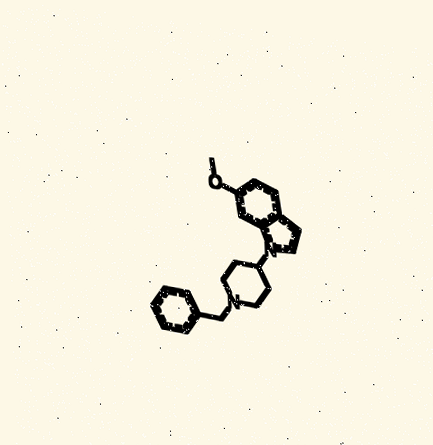 COc1ccc2ccn(C3CCN(Cc4ccccc4)CC3)c2c1